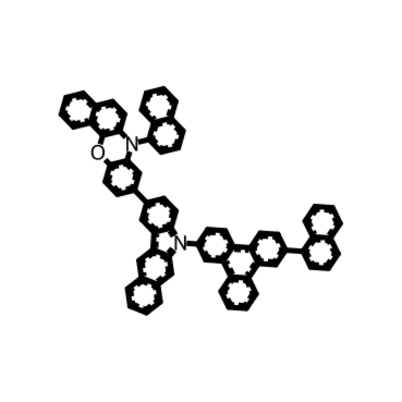 c1ccc2cc3c(cc2c1)c1cc(-c2ccc4c(c2)N(c2cccc5ccccc25)c2ccc5ccccc5c2O4)ccc1n3-c1ccc2c3ccc(-c4cccc5ccccc45)cc3c3ccccc3c2c1